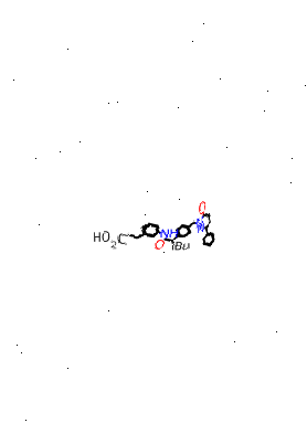 CCC(C)C(C(=O)Nc1cccc(CCC(=O)O)c1)c1ccc(CN2N=C(c3ccccc3)CCC2=O)cc1